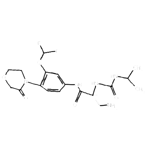 CC(C)NC(=O)N[C@H](CN)C(=O)Nc1ccc(N2CCOCC2=O)c(OC(F)F)c1